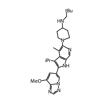 COc1cc(-c2[nH]c3cnc(N4CCC(NCC(C)(C)C)CC4)c(C)c3c2C(C)C)cn2ncnc12